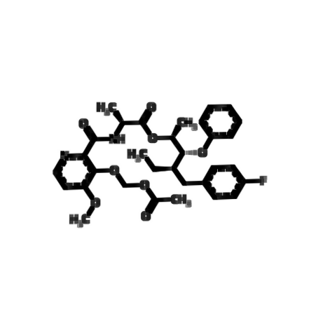 CC[C@H](Cc1ccc(F)cc1)[C@@H](Oc1ccccc1)[C@H](C)OC(=O)[C@H](C)NC(=O)c1nccc(OC)c1OCOC(C)=O